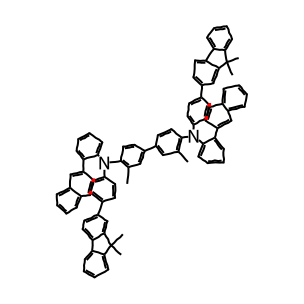 Cc1cc(-c2ccc(N(c3ccc(-c4ccc5c(c4)C(C)(C)c4ccccc4-5)cc3)c3ccccc3-c3ccc4ccccc4c3)c(C)c2)ccc1N(c1ccc(-c2ccc3c(c2)C(C)(C)c2ccccc2-3)cc1)c1ccccc1-c1ccc2ccccc2c1